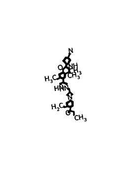 C=Cc1cc(N2CC(CN/C=C(\C=N)c3cc4c(cc3CC)C(=O)c3c([nH]c5cc(C#N)ccc35)C4(C)C)C2)ccc1C(=O)CCC